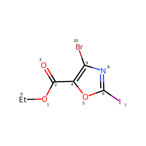 CCOC(=O)c1oc(I)nc1Br